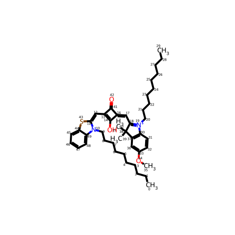 CCCCCCCCCCN1/C(=C\C2=C(O)C(=C\C3=[N+](CCCCCCCCCC)c4ccc(OC)cc4C3(C)C)/C2=O)Sc2ccccc21